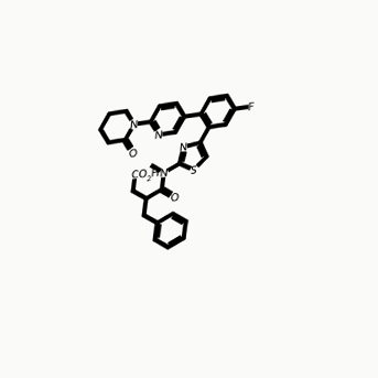 CN(C(=O)C(CC(=O)O)Cc1ccccc1)c1nc(-c2cc(F)ccc2-c2ccc(N3CCCCC3=O)nc2)cs1